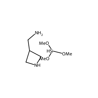 CO[SiH](OC)OC.NCC1CNC1